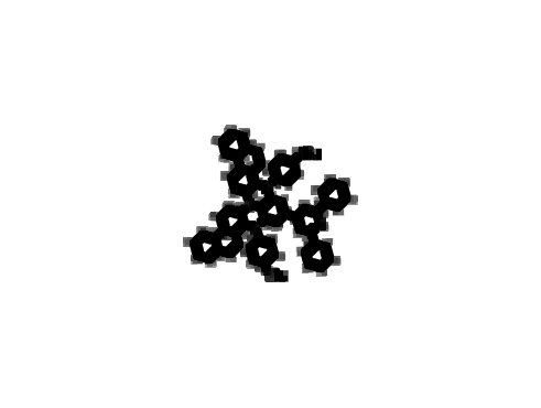 CC(C)(C)c1ccc(N2c3cc(-c4cc(-c5ccccc5)nc(-c5ccccc5)c4)cc4c3B(c3ccc5c(ccc6ccccc65)c32)c2ccc3c(ccc5ccccc53)c2N4c2ccc(C(C)(C)C)cc2)cc1